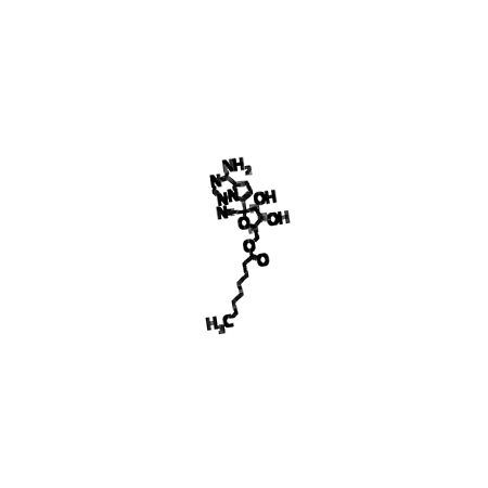 CCCCCCCC(=O)OC[C@H]1OC(C#N)(c2ccc3c(N)ncnn23)[C@H](O)[C@@H]1O